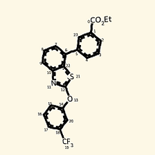 CCOC(=O)c1cccc(-c2cccc3nc(Oc4cccc(C(F)(F)F)c4)sc23)c1